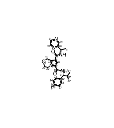 CC(NC(=O)c1cc(C(=O)N[C@@H](c2ccc(F)cc2)C(C)C)n2c1COCC2)c1cnccn1